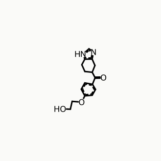 O=C(c1ccc(OCCO)cc1)C1CCc2[nH]cnc2C1